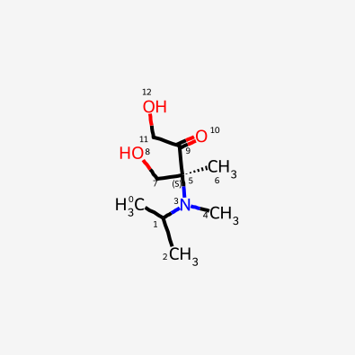 CC(C)N(C)[C@@](C)(CO)C(=O)CO